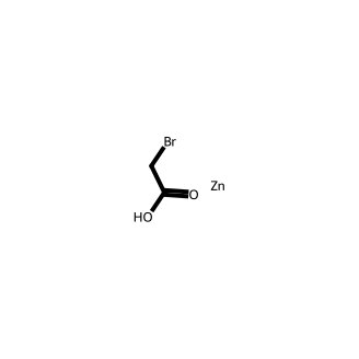 O=C(O)CBr.[Zn]